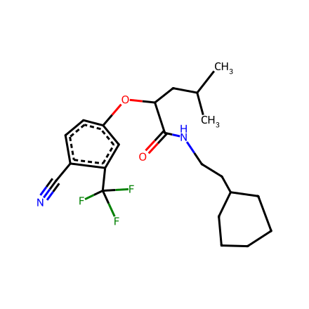 CC(C)CC(Oc1ccc(C#N)c(C(F)(F)F)c1)C(=O)NCCC1CCCCC1